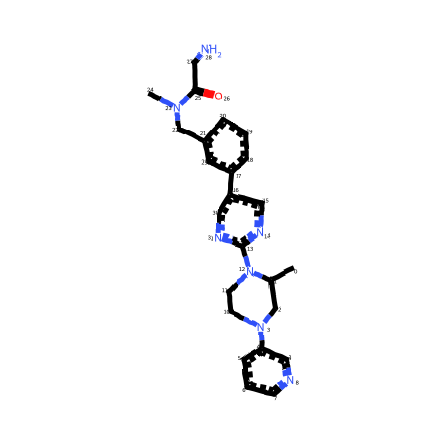 CC1CN(c2cccnc2)CCN1c1ncc(-c2cccc(CN(C)C(=O)CN)c2)cn1